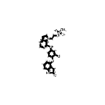 CS(=O)(=O)OCCn1ccc2ncnc(Nc3ccc(Oc4cccc5c4CC(=O)N5)c(Cl)c3)c21